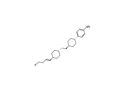 CCCc1ccc([C@H]2CC[C@H](CC[C@H]3CC[C@H](C=CCCF)CC3)CC2)cc1